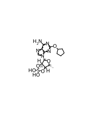 C[C@H]1O[C@@H](n2cnc3c(N)nc(OC4CCCC4)nc32)[C@H]2OS(O)(O)O[C@@H]21